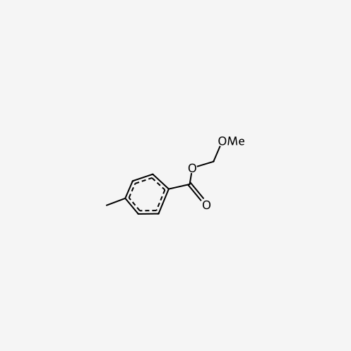 COCOC(=O)c1ccc(C)cc1